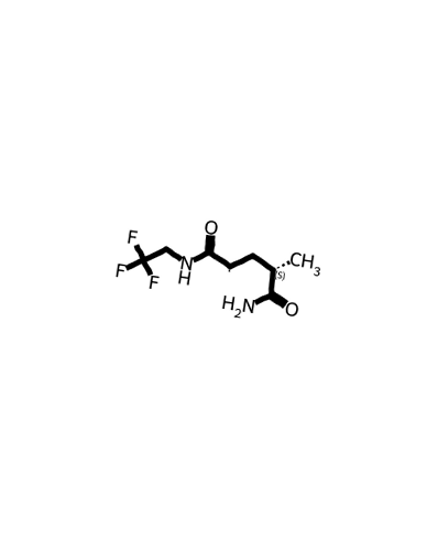 C[C@@H](C[CH]C(=O)NCC(F)(F)F)C(N)=O